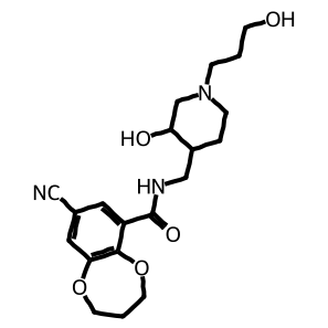 N#Cc1cc2c(c(C(=O)NCC3CCN(CCCO)CC3O)c1)OCCCO2